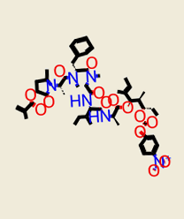 C=C(C)C(=O)O[C@@H]1CC(C)N([C@@H](C)C(=O)N(C)[C@H](Cc2ccccc2)C(=O)N(C)CC(=O)N[C@H](C(=O)N[C@H](C)C(=O)O[C@H](/C(C)=C/C)[C@@H](C)[C@H](CC)OC(=O)Oc2ccc([N+](=O)[O-])cc2)C(C)CC)C1=O